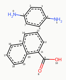 Nc1ccc(N)cc1.O=C(O)c1cccc2ccccc12